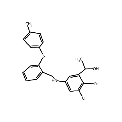 Cc1ccc(Sc2ccccc2CNc2cc(Cl)c(O)c(C(C)O)c2)cc1